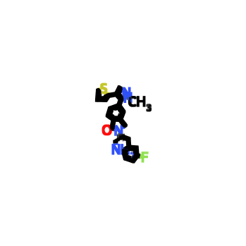 Cn1ncc(-c2cccs2)c1-c1ccc2c(c1)CN([C@H](CN)Cc1cccc(F)c1)C2=O